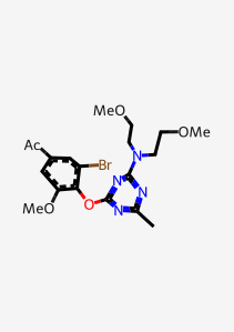 COCCN(CCOC)c1nc(C)nc(Oc2c(Br)cc(C(C)=O)cc2OC)n1